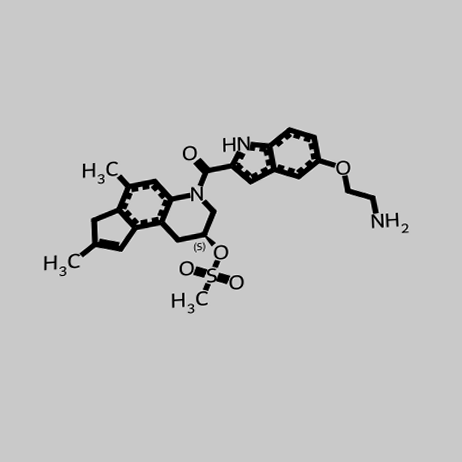 CC1=Cc2c(c(C)cc3c2C[C@H](OS(C)(=O)=O)CN3C(=O)c2cc3cc(OCCN)ccc3[nH]2)C1